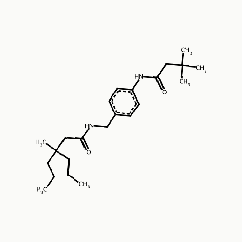 CCCC(C)(CCC)CC(=O)NCc1ccc(NC(=O)CC(C)(C)C)cc1